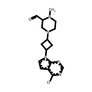 CN1CCN(C2CC(n3ccc4c(Cl)ncnc43)C2)CC1C=O